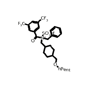 CCCCCOCC1CCC(C[N+](Cc2ccccc2)(C(=O)c2cc(C(F)(F)F)cc(C(F)(F)F)c2)S(=O)(=O)O)CC1